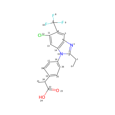 CCc1nc2cc(C(F)(F)F)c(Cl)cc2n1-c1ccc(C(C)C(=O)O)cc1